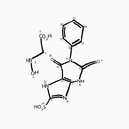 O=C(O)CNO.O=c1[nH]c2nc(S(=O)(=O)O)[nH]c2c(=O)n1-c1ccccc1